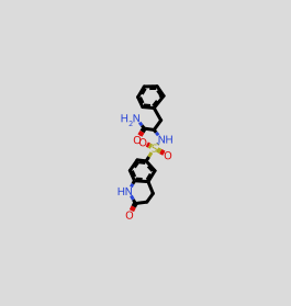 NC(=O)C(Cc1ccccc1)NS(=O)(=O)c1ccc2c(c1)CCC(=O)N2